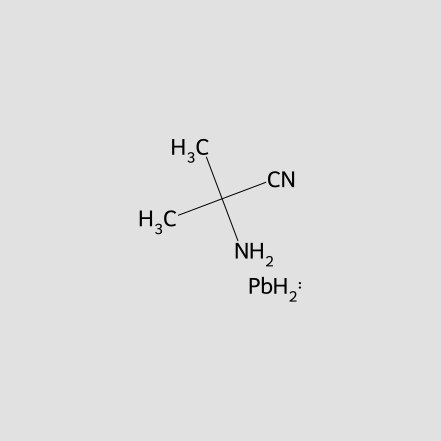 CC(C)(N)C#N.[PbH2]